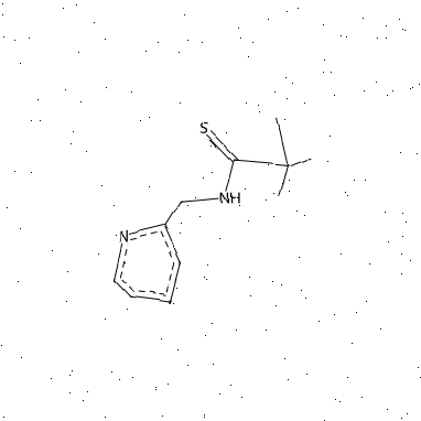 CC(C)(C)C(=S)NCc1ccccn1